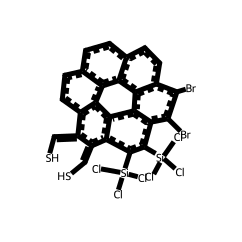 SC=c1c(=CS)c2c([Si](Cl)(Cl)Cl)c([Si](Cl)(Cl)Cl)c3c(Br)c(Br)c4ccc5ccc6ccc1c1c6c5c4c3c21